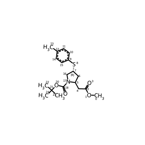 COC(=O)CC1C[C@@H](Sc2ccc(C)cc2)CN1C(=O)OC(C)(C)C